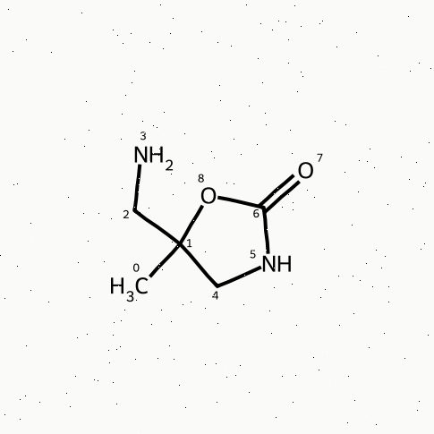 CC1(CN)CNC(=O)O1